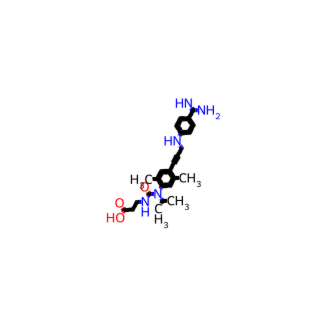 Cc1cc(N(C(=O)NCCC(=O)O)C(C)C)c(C)cc1C#CCNc1ccc(C(=N)N)cc1